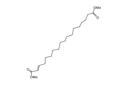 COC(=O)C=CCCCCCCCCCCCCCCC(=O)OC